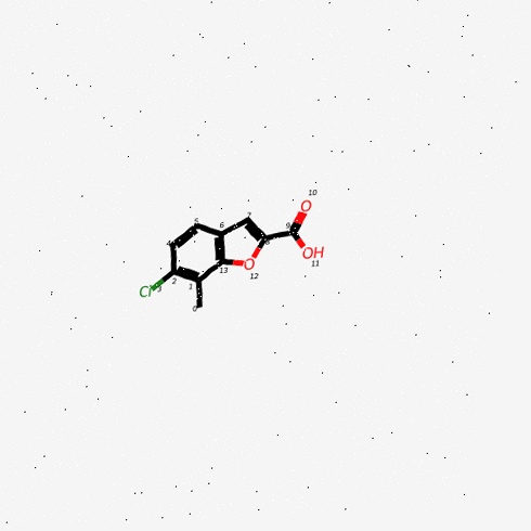 Cc1c(Cl)ccc2cc(C(=O)O)oc12